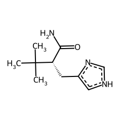 CC(C)(C)[C@@H](Cc1c[nH]cn1)C(N)=O